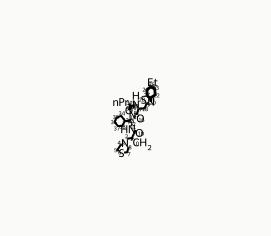 C=C(CN1CCSCC1)C(=O)NC[C@@H](NC(=O)C(Cc1nc2ccc(CC)cc2s1)NC(=O)CCC)C1CCCCC1